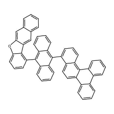 c1ccc2cc3c(cc2c1)oc1cccc(-c2c4ccccc4c(-c4cccc5c4ccc4c6ccccc6c6ccccc6c54)c4ccccc24)c13